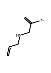 C=CCNCC(=C)C(C)C